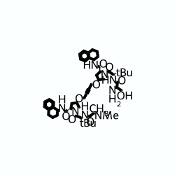 CN[C@@H](C)C(=O)N[C@H](C(=O)N1C[C@@H](OCC#CCO[C@H]2C[C@@H](C(=O)N[C@@H]3CCCc4ccccc43)N(C(=O)[C@@H](NC(=O)[C@@H](N)CO)C(C)(C)C)C2)C[C@H]1C(=O)N[C@@H]1CCCc2ccccc21)C(C)(C)C